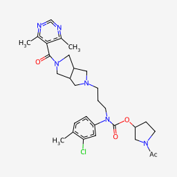 CC(=O)N1CCC(OC(=O)N(CCCN2CC3CN(C(=O)c4c(C)ncnc4C)CC3C2)c2ccc(C)c(Cl)c2)C1